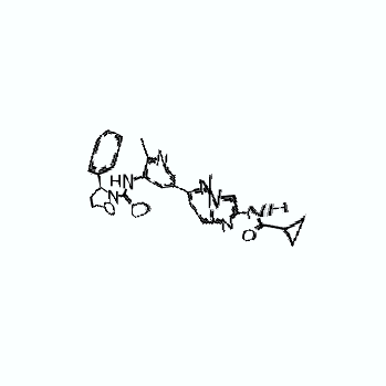 Cc1ncc(-c2ccc3nc(NC(=O)C4CC4)cn3n2)cc1NC(=O)N1OCC[C@H]1c1ccccc1